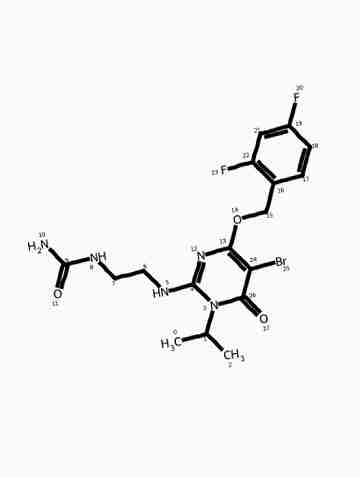 CC(C)n1c(NCCNC(N)=O)nc(OCc2ccc(F)cc2F)c(Br)c1=O